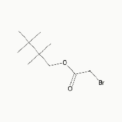 CC(C)(C)C(C)(C)COC(=O)CBr